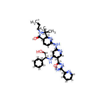 C=CCN1C(=O)c2ccc(Nc3cc(N[C@H](CO)c4ccccc4)c(-c4nc(-c5ccccn5)no4)cn3)nc2C1(C)C